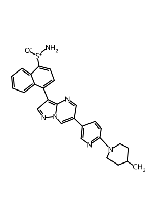 CC1CCN(c2ccc(-c3cnc4c(-c5ccc([S+](N)[O-])c6ccccc56)cnn4c3)cn2)CC1